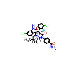 CC(C)(C)C[C@@H]1N2CN(c3ccc(C(N)=O)cc3)C(=O)[C@H]2[C@H](c2cccc(Cl)c2F)[C@]12C(=O)Nc1cc(Cl)ccc12